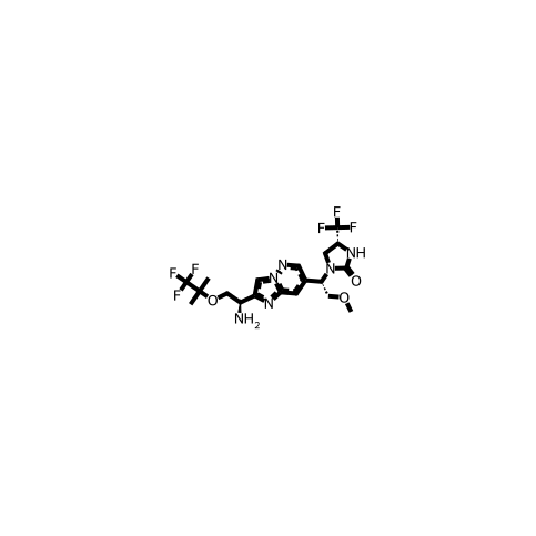 COC[C@H](c1cnn2cc([C@@H](N)COC(C)(C)C(F)(F)F)nc2c1)N1C[C@H](C(F)(F)F)NC1=O